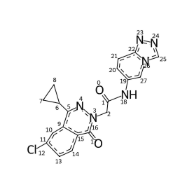 O=C(Cn1nc(C2CC2)c2cc(Cl)ccc2c1=O)Nc1ccc2nncn2c1